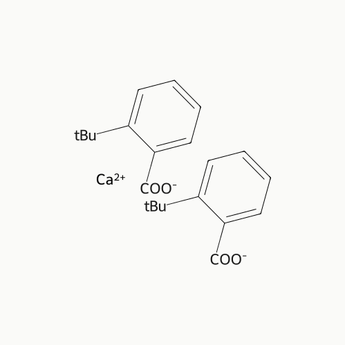 CC(C)(C)c1ccccc1C(=O)[O-].CC(C)(C)c1ccccc1C(=O)[O-].[Ca+2]